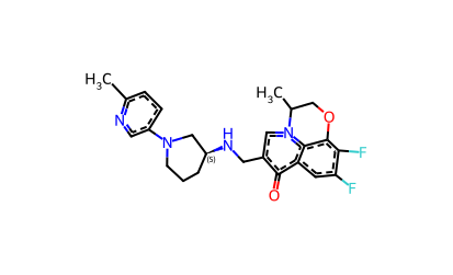 Cc1ccc(N2CCC[C@H](NCc3cn4c5c(c(F)c(F)cc5c3=O)OCC4C)C2)cn1